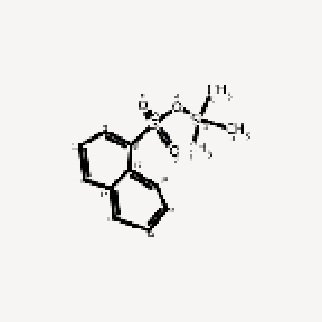 C[Si](C)(C)OS(=O)(=O)c1cccc2ccccc12